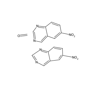 C=O.O=[N+]([O-])c1ccc2ncncc2c1.O=[N+]([O-])c1ccc2ncncc2c1